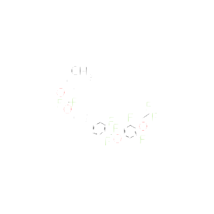 CCC1CCC(C(F)(F)OC2CCC(c3ccc(C(F)(F)Oc4cc(F)c(OC=C(F)F)c(F)c4)c(F)c3)CC2)OC1